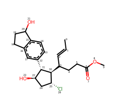 CC=CC(CCC(=O)OC)[C@@H]1[C@@H](c2ccc3c(c2)CCC3O)[C@H](O)C[C@H]1Cl